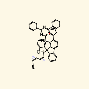 C#C/C=C\C=C/CC1(c2ccccc2O)c2ccccc2-c2ccc(C3=CC=CC3)c(Nc3nc(-c4ccccc4)nc(-c4ccccc4)n3)c21